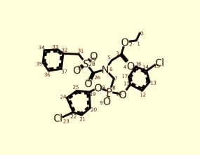 CCOC(=O)CN(CP(=O)(Oc1ccc(Cl)cc1)Oc1ccc(Cl)cc1)C(=O)S(=O)(=O)Cc1ccccc1